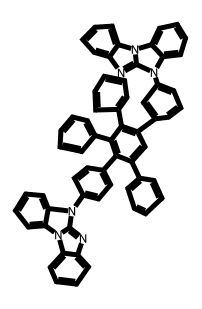 c1ccc(-c2cc(-c3cccc(-n4c5ccccc5n5c6ccccc6nc45)c3)c(-c3ccccc3)c(-c3ccccc3)c2-c2ccc(-n3c4ccccc4n4c5ccccc5nc34)cc2)cc1